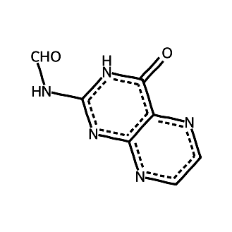 O=CNc1nc2nccnc2c(=O)[nH]1